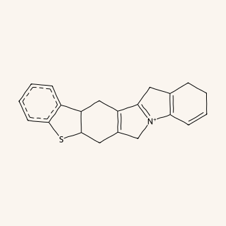 C1=CC2=C(CC1)CC1=[N+]2CC2=C1CC1c3ccccc3SC1C2